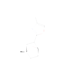 CC[C@@H]1C(c2nc(C(C)=O)co2)C2CC[C@H]1O2